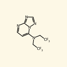 FC(F)(F)CN(CC(F)(F)F)c1ccnc2ncnn12